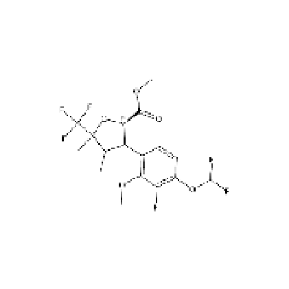 COC(=O)[C@@H]1OC(C)(C(F)(F)F)C(C)C1c1ccc(OC(F)F)c(F)c1OC